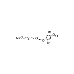 CCOc1cc(Br)c(OCCOCCOCCOC)cc1Br